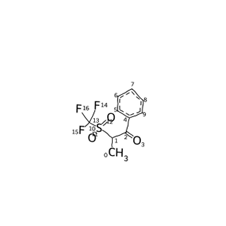 CC(C(=O)c1ccccc1)S(=O)(=O)C(F)(F)F